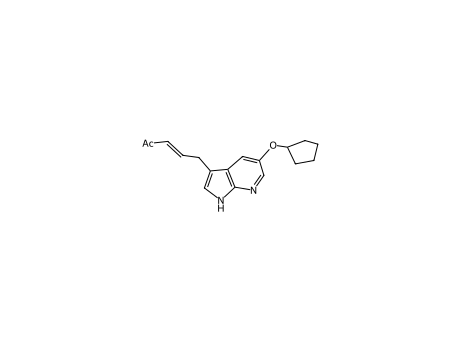 CC(=O)/C=C/Cc1c[nH]c2ncc(OC3CCCC3)cc12